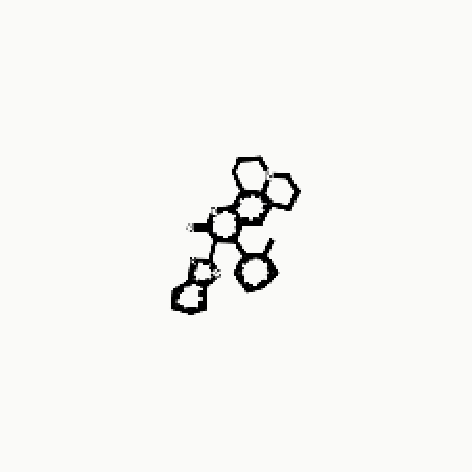 Cc1ccccc1-c1c(-c2nc3ccccc3s2)c(=O)oc2c3c4c(cc12)CCCN4CCC3